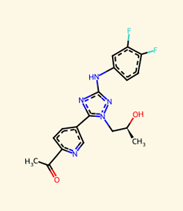 CC(=O)c1ccc(-c2nc(Nc3ccc(F)c(F)c3)nn2C[C@H](C)O)cn1